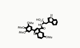 COc1ccc2nc(-c3cc(OC)c(OC)c(OC)c3)cc(C(=O)N[C@H](Cc3c[nH]c4ccccc34)C(=O)O)c2c1